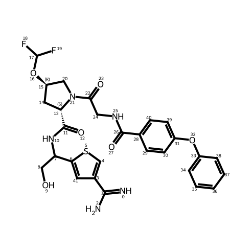 N=C(N)c1csc(C(CO)NC(=O)[C@@H]2C[C@@H](OC(F)F)CN2C(=O)CNC(=O)c2ccc(Oc3ccccc3)cc2)c1